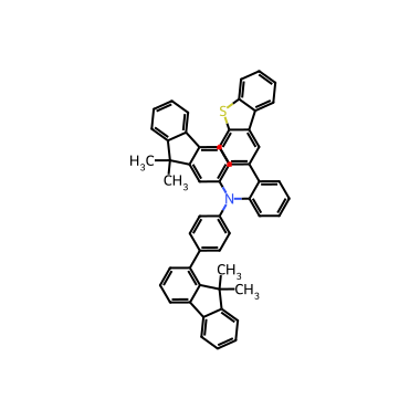 CC1(C)c2ccccc2-c2ccc(N(c3ccc(-c4cccc5c4C(C)(C)c4ccccc4-5)cc3)c3ccccc3-c3ccc4sc5ccccc5c4c3)cc21